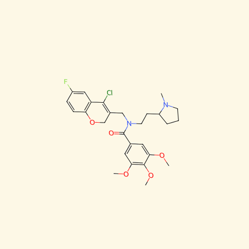 COc1cc(C(=O)N(CCC2CCCN2C)CC2=C(Cl)c3cc(F)ccc3OC2)cc(OC)c1OC